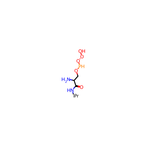 CC(C)NC(=O)C(N)COPOOO